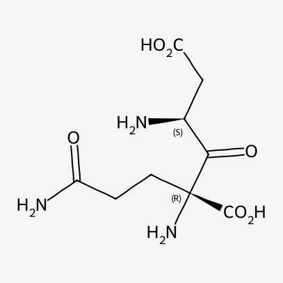 NC(=O)CC[C@](N)(C(=O)O)C(=O)[C@@H](N)CC(=O)O